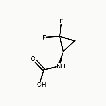 O=C(O)N[C@@H]1CC1(F)F